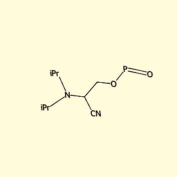 CC(C)N(C(C)C)C(C#N)COP=O